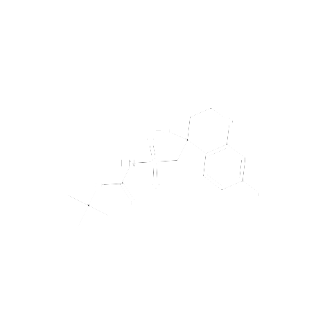 CC(C)(C)OC(=O)NS(=O)(=O)CC1(O)CCOc2cc(Cl)ccc21